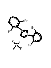 CC(C)c1cccc(C(C)C)c1-n1cc[n+](-c2c(C(C)C)cccc2C(C)C)c1.F[B-](F)(F)F